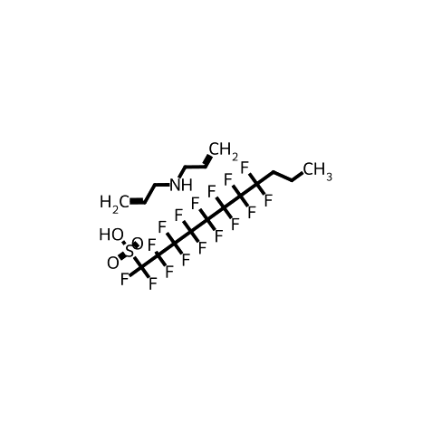 C=CCNCC=C.CCCC(F)(F)C(F)(F)C(F)(F)C(F)(F)C(F)(F)C(F)(F)C(F)(F)C(F)(F)S(=O)(=O)O